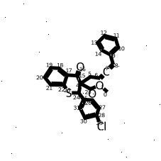 COC(=O)C1(CC=C=Cc2ccccc2)C(=O)c2ccccc2SC1c1ccc(Cl)cc1